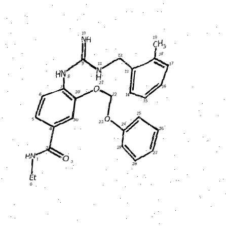 CCNC(=O)c1ccc(NC(=N)NCc2ccccc2C)c(OCOc2ccccc2)c1